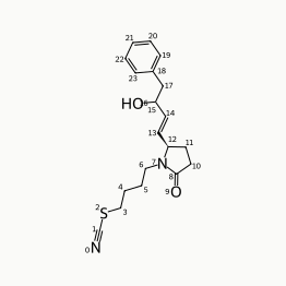 N#CSCCCCN1C(=O)CC[C@@H]1/C=C/C(O)Cc1ccccc1